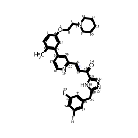 Cc1ccc(OCCN2CCCCC2)cc1-c1ccnc(/C=C/C(=O)c2nnc(Cc3cc(F)cc(F)c3)[nH]2)c1